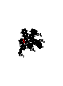 CCCCc1ccc(N2c3cc(C)cc4c3B(c3c2ccc2c3sc3cc5ccccc5cc32)n2c3ccc(C56CC=C(CC(C)C5)C6)cc3c3cc(C5(CC)CC6CCC(C6)C5)cc-4c32)c(-c2ccccc2)c1